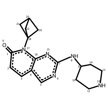 O=c1ccc2cnc(NC3CCNCC3)nc2n1C12CC(C1)C2